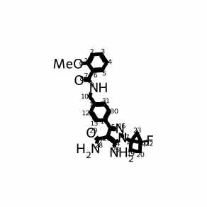 COc1ccccc1C(=O)NCc1ccc(-c2nn(C34CC[C@@]3(F)C4)c(N)c2C(N)=O)cc1